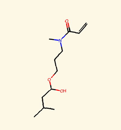 C=CC(=O)N(C)CCCOC(O)CC(C)C